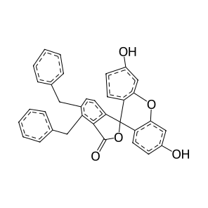 O=C1OC2(c3ccc(O)cc3Oc3cc(O)ccc32)c2ccc(Cc3ccccc3)c(Cc3ccccc3)c21